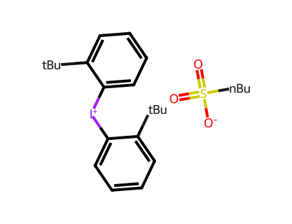 CC(C)(C)c1ccccc1[I+]c1ccccc1C(C)(C)C.CCCCS(=O)(=O)[O-]